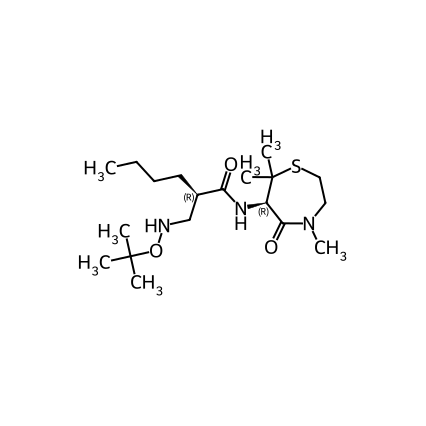 CCCC[C@H](CNOC(C)(C)C)C(=O)N[C@@H]1C(=O)N(C)CCSC1(C)C